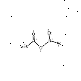 [CH2]C(=O)N(CC)OC(=O)SC